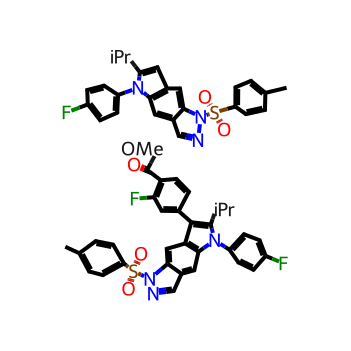 COC(=O)c1ccc(-c2c(C(C)C)n(-c3ccc(F)cc3)c3cc4cnn(S(=O)(=O)c5ccc(C)cc5)c4cc23)cc1F.Cc1ccc(S(=O)(=O)n2ncc3cc4c(cc(C(C)C)n4-c4ccc(F)cc4)cc32)cc1